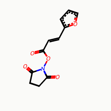 O=C(C=Cc1ccco1)ON1C(=O)CCC1=O